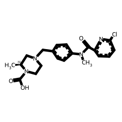 C[C@H]1CN(Cc2ccc(N(C)C(=O)c3cccc(Cl)n3)cc2)CCN1C(=O)O